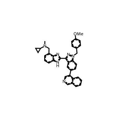 COc1ccc(Cn2nc(-c3nc4c(CN(C)C5CC5)cccc4[nH]3)c3cc(-c4cncc5ccccc45)ccc32)cc1